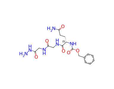 NNC(=O)CNC(=O)CNC(=O)[C@H](CCC(N)=O)NC(=O)OCc1ccccc1